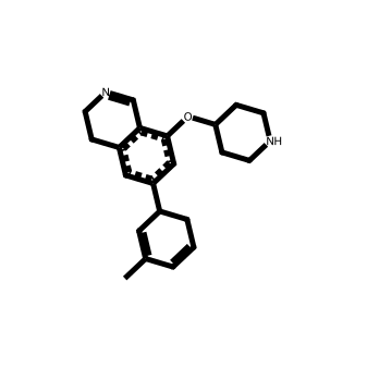 CC1=CC(c2cc3c(c(OC4CCNCC4)c2)C=NCC3)CC=C1